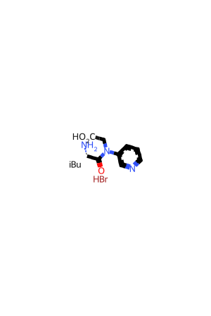 Br.CC[C@H](C)[C@H](N)C(=O)N(CC(=O)O)c1cccnc1